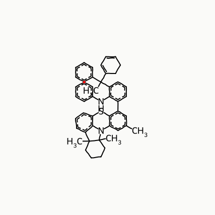 Cc1cc(-c2cccc(C(C)(C3=CC=CCC3)c3ccccc3)c2Nc2ccccc2)c2c(c1)N1c3c(cccc3C3(C)CCCCC13C)S2